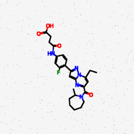 CCc1cc(C(=O)N2CCCCCC2C)nc2cc(-c3ccc(NC(=O)CCC(=O)O)cc3F)nn12